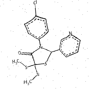 CSC1(SC)SC(c2cccnc2)N(c2ccc(Cl)cc2)C1=O